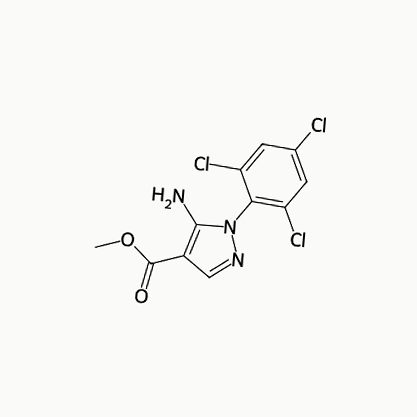 COC(=O)c1cnn(-c2c(Cl)cc(Cl)cc2Cl)c1N